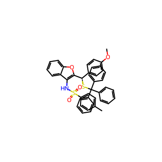 COc1ccc([C@@H](SC(c2ccccc2)(c2ccccc2)c2ccccc2)c2oc3ccccc3c2NS(=O)(=O)c2ccc(C)cc2)cc1